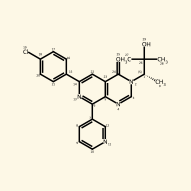 C[C@H](n1cnc2c(-c3cccnc3)nc(-c3ccc(Cl)cc3)cc2c1=O)C(C)(C)O